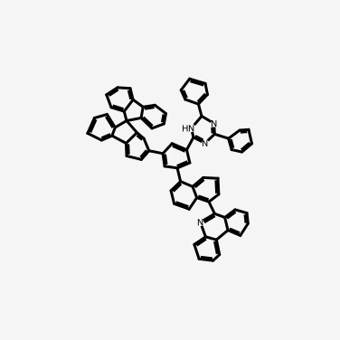 c1ccc(C2=NC(c3ccccc3)NC(c3cc(-c4ccc5c(c4)C4(c6ccccc6-c6ccccc64)c4ccccc4-5)cc(-c4cccc5c(-c6nc7ccccc7c7ccccc67)cccc45)c3)=N2)cc1